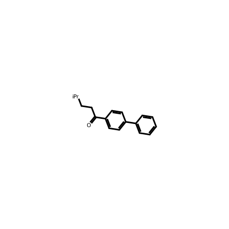 CC(C)CCC(=O)c1ccc(-c2ccccc2)cc1